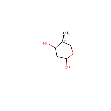 C[C@H]1COC(O)CC1O